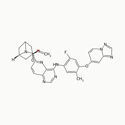 C=CC(=O)N1C2C[C@H](c3ccc4ncnc(Nc5cc(C)c(Oc6ccn7ncnc7c6)cc5F)c4n3)C[C@@H]1C2